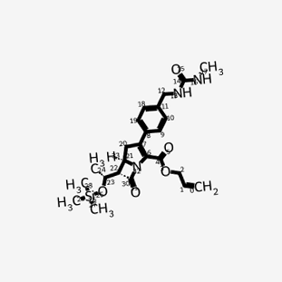 C=CCOC(=O)C1=C(c2ccc(CNC(=O)NC)cc2)C[C@@H]2[C@@H]([C@@H](C)O[Si](C)(C)C)C(=O)N12